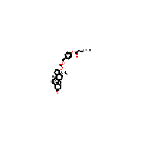 C[C@]12CC[C@H]3[C@@H](CCC4=CC(=O)CC[C@@]43C)[C@@H]1CC[C@@H]2OC(=O)OCc1ccc(OC(=O)CCC(=O)O)cc1